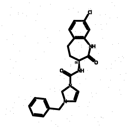 O=C1Nc2cc(Cl)ccc2CC[C@@H]1NC(=O)N1C=CN(Cc2ccccc2)C1